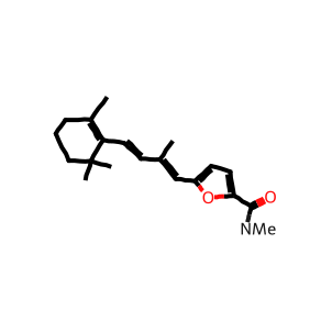 CNC(=O)c1ccc(/C=C(\C)C=CC2=C(C)CCCC2(C)C)o1